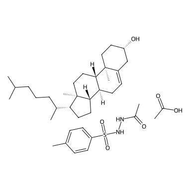 CC(=O)NNS(=O)(=O)c1ccc(C)cc1.CC(=O)O.CC(C)CCCC(C)[C@H]1CC[C@H]2[C@@H]3CC=C4C[C@@H](O)CC[C@]4(C)[C@H]3CC[C@]12C